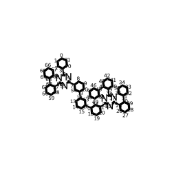 c1ccc(-c2nc(-c3cccc(-c4cccc(-c5cccc(-c6nc(-c7ccccc7-c7ccccc7)nc(-c7ccccc7-c7ccccc7)n6)c5)c4)c3)nc(-c3ccccc3-c3ccccc3)n2)cc1